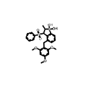 COc1cc(OC)c(Cc2cccc3c2C(S(=O)(=O)c2ccccc2)C(C)S3(O)O)c(OC)c1